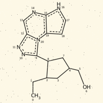 CCC1CC(CO)CC1c1nnc2cnc3[nH]ccc3n12